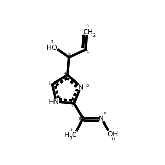 C=CC(O)c1c[nH]c(C(C)=NO)n1